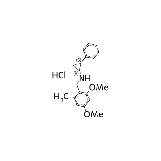 COc1cc(C)c(CN[C@@H]2C[C@H]2c2ccccc2)c(OC)c1.Cl